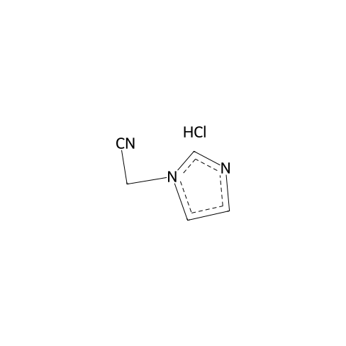 Cl.N#CCn1ccnc1